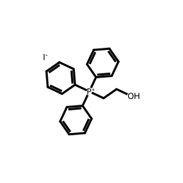 OCC[P+](c1ccccc1)(c1ccccc1)c1ccccc1.[I-]